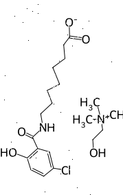 C[N+](C)(C)CCO.O=C([O-])CCCCCCCNC(=O)c1cc(Cl)ccc1O